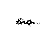 Cn1cncc1/C=C/c1ccc(C(=O)O)cc1